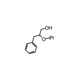 CC(C)O[C](CO)Cc1ccccc1